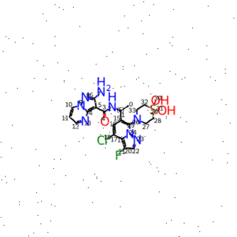 C[C@H](NC(=O)c1c(N)nn2cccnc12)c1cc(Cl)c2c(F)cnn2c1N1CCS(O)(O)CC1